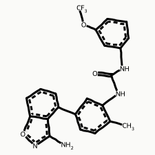 Cc1ccc(-c2cccc3onc(N)c23)cc1NC(=O)Nc1cccc(OC(F)(F)F)c1